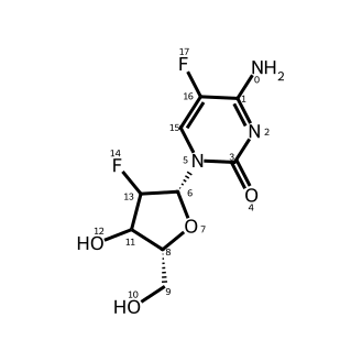 Nc1nc(=O)n([C@@H]2O[C@H](CO)C(O)C2F)cc1F